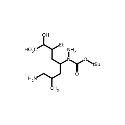 CCC(CC(CC(C)CN)N(N)C(=O)OC(C)(C)C)C(O)C(=O)O